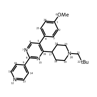 COc1ccc(-c2cnc(-c3ccncc3)nc2C2CCN(CC(C)(C)C)CC2)cc1